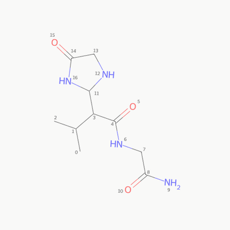 CC(C)C(C(=O)NCC(N)=O)C1NCC(=O)N1